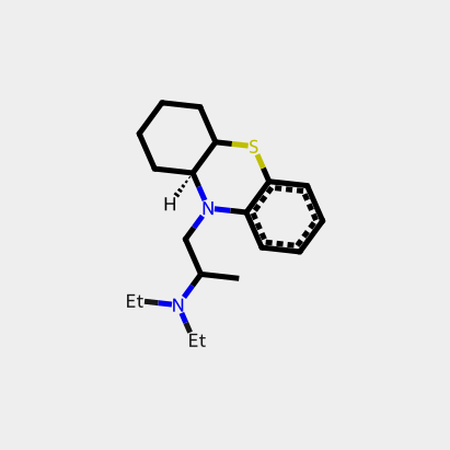 CCN(CC)C(C)CN1c2ccccc2SC2CCCC[C@@H]21